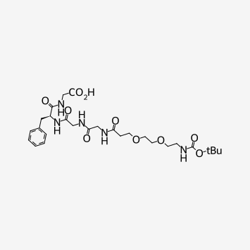 CC(C)(C)OC(=O)NCCOCCOCCC(=O)NCC(=O)NCC(=O)N[C@@H](Cc1ccccc1)C(=O)NCC(=O)O